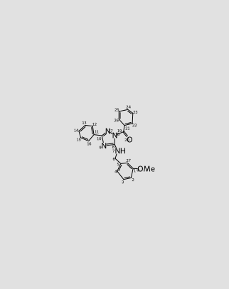 COc1cccc(CNc2nc(-c3ccccc3)nn2C(=O)c2ccccc2)c1